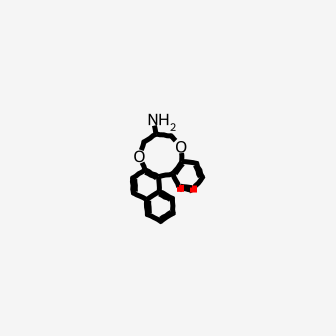 NC1COc2ccc3ccccc3c2-c2c(ccc3ccccc23)OC1